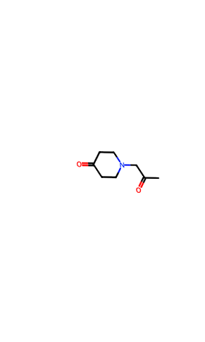 CC(=O)CN1CCC(=O)CC1